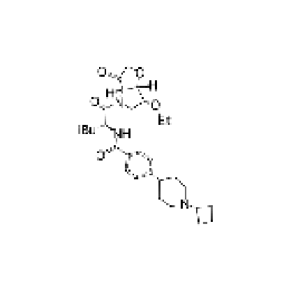 CCO[C@H]1CN(C(=O)[C@@H](NC(=O)c2ccc(C3CCN(C4CCC4)CC3)cc2)[C@@H](C)CC)[C@@H]2C(=O)CO[C@H]12